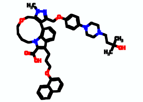 Cn1nc(COc2ccc(N3CCN(CCC(C)(C)O)CC3)cc2)c2c1COCCCCn1c(C(=O)O)c(CCCOc3cccc4ccccc34)c3cccc-2c31